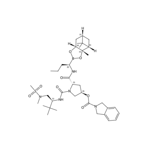 CCC[C@H](NC(=O)[C@@H]1C[C@@H](OC(=O)N2Cc3ccccc3C2)CN1C(=O)N[C@H](CN(C)S(C)(=O)=O)C(C)(C)C)B1O[C@@H]2C[C@@H]3C[C@@H](C3(C)C)[C@]2(C)O1